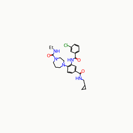 CCNC(=O)N1CCCN(c2ccc(C(=O)NCC3CC3)cc2NC(=O)c2cccc(Cl)c2)CC1